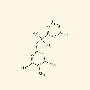 Cc1cc(CC(C)(C)c2cc(F)cc(F)c2)cc(C(C)(C)C)c1C